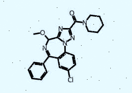 COC1N=C(c2ccccc2)c2cc(Cl)ccc2-n2nc(C(=O)N3CCCCC3)nc21